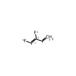 C=C/C(F)=C/F